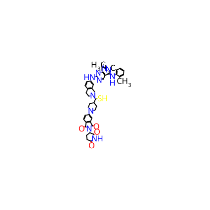 Cc1cccc(C)c1Nc1nn(C)c2nc(Nc3ccc4c(c3)CN(C(S)C3CCN(c5ccc6c(c5)C(=O)N(C5CCC(=O)NC5=O)C6=O)CC3)CC4)ncc12